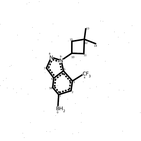 Bc1cc(C(F)(F)F)c2c(cnn2C2CC(C)(C)C2)c1